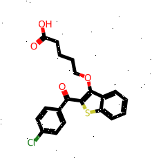 O=C(O)CCCCOc1c(C(=O)c2ccc(Cl)cc2)sc2ccccc12